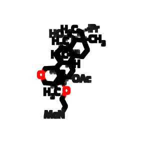 CNCCO[C@H]1[C@H](OC(C)=O)C[C@@]23COC[C@@]1(C)C2CC[C@H]1C3=CC[C@@]2(C)[C@H](C(=O)O)[C@@](C)([C@H](C)C(C)C)CC[C@]12C